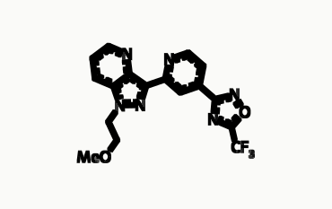 COCCn1nc(-c2cc(-c3noc(C(F)(F)F)n3)ccn2)c2ncccc21